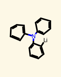 [Li][c]1ccccc1N(c1ccccc1)c1ccccc1